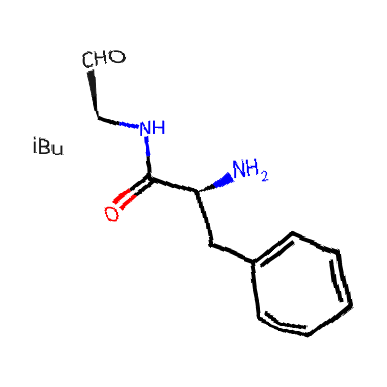 CC[C@H](C)[C@@H](C=O)NC(=O)[C@@H](N)Cc1ccccc1